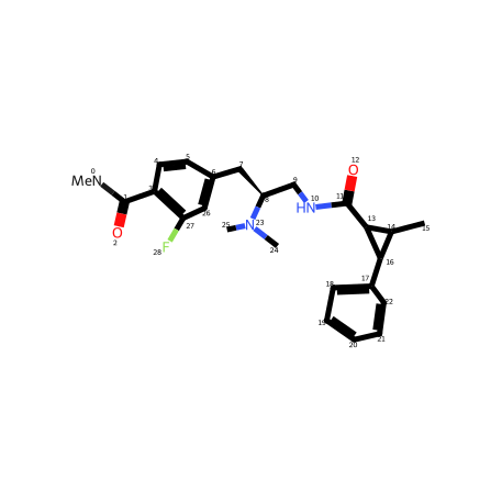 CNC(=O)c1ccc(C[C@@H](CNC(=O)C2C(C)C2c2ccccc2)N(C)C)cc1F